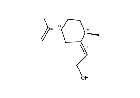 C=C(C)[C@@H]1CC[C@@H](C)/C(=C/CO)C1